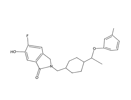 Cc1cccc(OC(C)C2CCC(CN3Cc4cc(F)c(O)cc4C3=O)CC2)c1